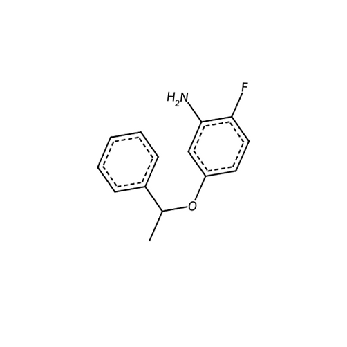 CC(Oc1ccc(F)c(N)c1)c1ccccc1